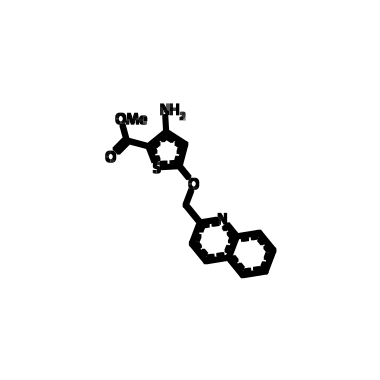 COC(=O)c1sc(OCc2ccc3ccccc3n2)cc1N